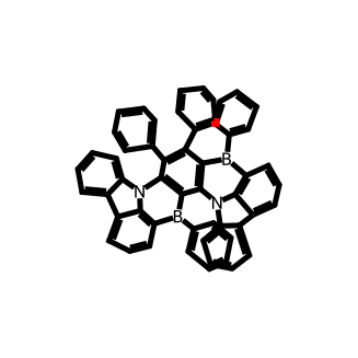 c1ccc(B2c3c(-c4ccccc4)c(-c4ccccc4)c4c(c3-n3c5ccccc5c5cccc2c53)B(c2ccccc2)c2cccc3c5ccccc5n-4c23)cc1